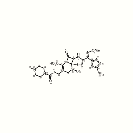 CON=C(C(=O)NC1C(=O)N2C(C(=O)O)=C(COC(=O)N3CCN(C)CC3)C[S+]([O-])[C@@H]12)c1nsc(N)n1